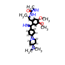 CNC(=O)N[C@@H](C)Cc1cc(OC)c(OC)cc1C(=N)c1ccc(N2CCC(N(C)C)CC2)cc1